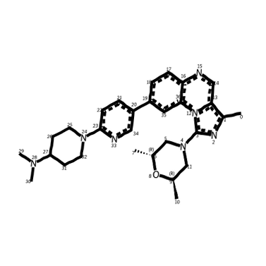 Cc1nc(N2C[C@@H](C)O[C@H](C)C2)n2c1cnc1ccc(-c3ccc(N4CCC(N(C)C)CC4)nc3)cc12